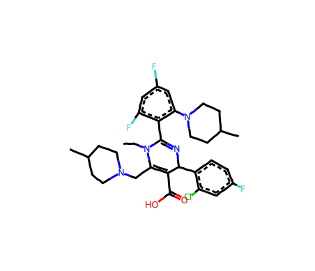 CCN1C(c2c(F)cc(F)cc2N2CCC(C)CC2)=NC(c2ccc(F)cc2Cl)C(C(=O)O)=C1CN1CCC(C)CC1